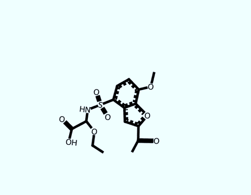 CCOC(NS(=O)(=O)c1ccc(OC)c2oc(C(C)=O)cc12)C(=O)O